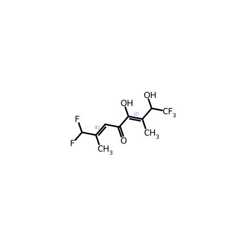 C/C(=C(/O)C(=O)/C=C(\C)C(F)F)C(O)C(F)(F)F